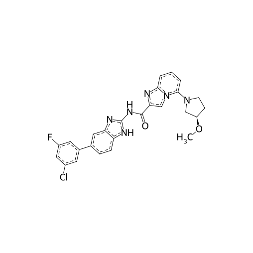 CO[C@@H]1CCN(c2cccc3nc(C(=O)Nc4nc5cc(-c6cc(F)cc(Cl)c6)ccc5[nH]4)cn23)C1